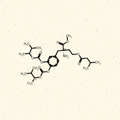 COC(=O)[C@@](N)(CCOC(=O)CC(C)C)Cc1ccc(OC(=O)O[C@@H](C)C(C)C)c(OC(=O)OC(C)C(C)C)c1